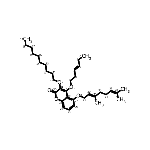 CC/C=C/CCOc1c(OCCCCCCCCCC)c(=O)oc2cccc(OC/C=C(\C)CCC=C(C)C)c12